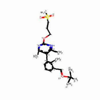 Cc1nc(OCCCS(C)(=O)=O)nc(C)c1-c1cccc(COC(C)(C)C)c1C